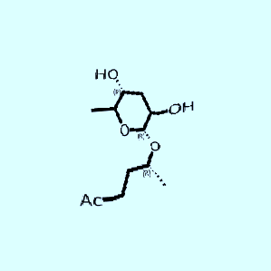 CC(=O)CC[C@@H](C)O[C@@H]1OC(C)[C@H](O)CC1O